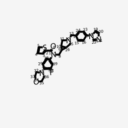 O=C(c1cccs1)N(CC1C2CN(Cc3ccc(-n4ccnc4)cc3)CC21)c1ccc(N2CCOCC2)c(F)c1